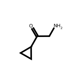 NCC(=O)[C]1CC1